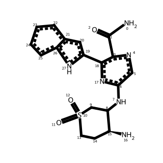 NC(=O)c1ncc(NC2CS(=O)(=O)CC[C@@H]2N)nc1-c1cc2ccccc2[nH]1